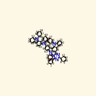 c1ccc(-c2nc(-c3ccccc3)nc(-c3cc4c5ccccc5n(-c5ccccc5)c4c4c5cc(-n6c7ccccc7c7c6ccc6c8ccccc8n(-c8ccccc8)c67)ccc5n(-c5ccccc5)c34)n2)cc1